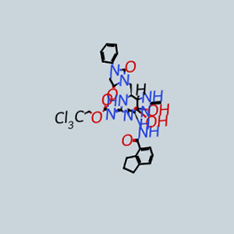 C=C1N[C@H]2[C@H](CN3C(=O)CN(c4ccccc4)C3=O)N/C(=N\C(=O)OCC(Cl)(Cl)Cl)N3C[C@H](NC(=O)c4cccc5c4CCC5)C(O)(O)[C@]23N1